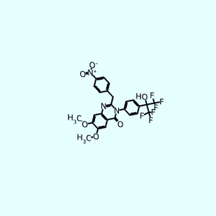 COc1cc2nc(Cc3ccc([N+](=O)[O-])cc3)n(-c3ccc(C(O)(C(F)(F)F)C(F)(F)F)cc3)c(=O)c2cc1OC